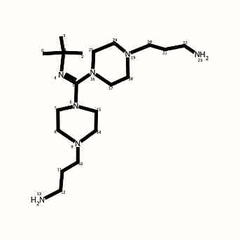 CC(C)(C)N=C(N1CCN(CCCN)CC1)N1CCN(CCCN)CC1